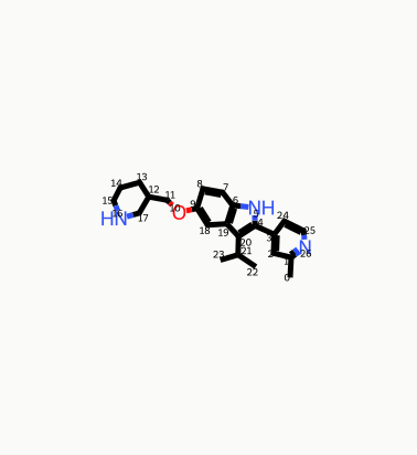 Cc1cc(-c2[nH]c3ccc(OCC4CCCNC4)cc3c2C(C)C)ccn1